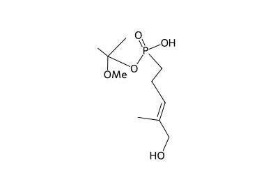 COC(C)(C)OP(=O)(O)CC/C=C(\C)CO